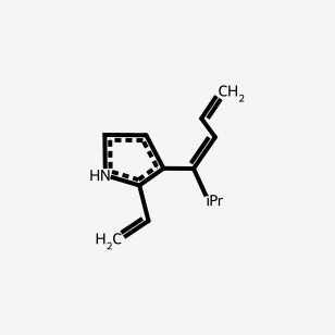 C=C/C=C(\c1cc[nH]c1C=C)C(C)C